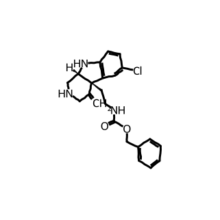 C=C1CNC[C@@H]2Nc3ccc(Cl)cc3[C@]12CCNC(=O)OCc1ccccc1